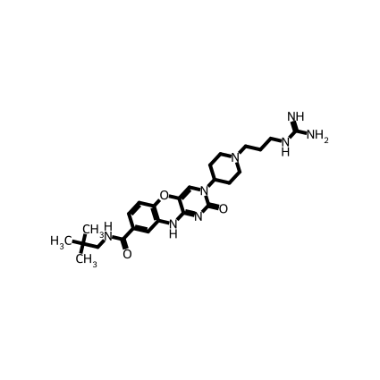 CC(C)(C)CNC(=O)c1ccc2c(c1)Nc1nc(=O)n(C3CCN(CCCNC(=N)N)CC3)cc1O2